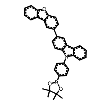 CC1(C)OB(c2ccc(-n3c4ccccc4c4cc(-c5ccc6oc7ccccc7c6c5)ccc43)cc2)OC1(C)C